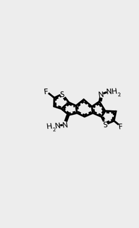 N/N=c1/c2cc3c(cc2c2sc(F)cc12)/c(=N/N)c1cc(F)sc13